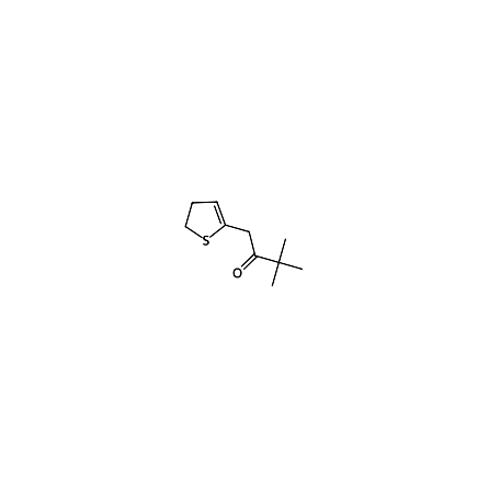 CC(C)(C)C(=O)CC1=CCCS1